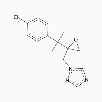 CC(C)(c1ccc(Cl)cc1)C1(Cn2cncn2)CO1